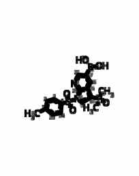 Cc1ccc(S(=O)(=O)n2cc(P(C)(C)=O)c3cc(B(O)O)cnc32)cc1